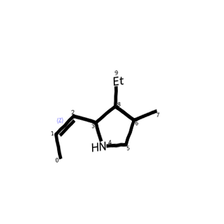 C/C=C\C1NCC(C)C1CC